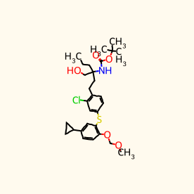 CCCC(CO)(CCc1ccc(Sc2cc(C3CC3)ccc2OCOC)cc1Cl)NC(=O)OC(C)(C)C